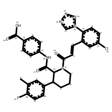 Cc1cc(C2CCCN(C(=O)/C=C/c3cc(Cl)ccc3-n3cnnn3)C2C(=O)Nc2ccc(C(=O)O)cc2)ccc1F